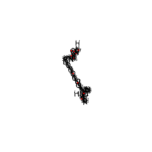 COC[C@H]1CN[C@H](C)CN1CC(=O)N1CC(C)(C)c2ncc(Cc3cccc(OCCOCCOCCOCCOCCOCCOCCNC[C@@H](C(=O)Nc4ccc5cnccc5c4)c4ccccc4)c3)cc21